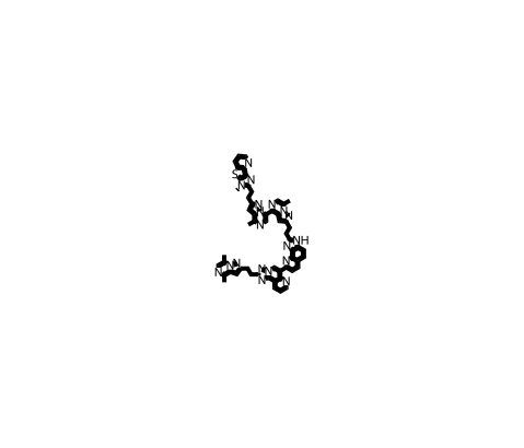 Cc1ncc(C)n2nc(CCc3nc4c5cccnc5c(-c5ccc6ccc7[nH]c(CCc8cc9c(-c%10cnc(C)c%11cc(CCc%12nc%13c%14ncccc%14sc%13n%12C)nn%10%11)ncc(C)n9n8)nc7c6n5)cn4n3)cc12